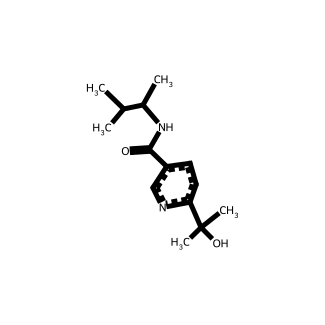 CC(C)C(C)NC(=O)c1ccc(C(C)(C)O)nc1